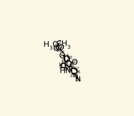 CC1(C)OCC(COc2ccc3c(c2)C2(CCCC2)c2[nH]c4cc(C#N)ccc4c2C3=O)O1